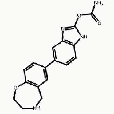 NC(=O)Oc1nc2cc(-c3ccc4c(c3)CNCCO4)ccc2[nH]1